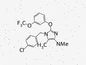 CNc1nc(Oc2cccc(OC(F)(F)F)c2)n(Cc2ccc(Cl)cc2)c1C